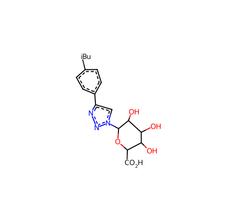 CCC(C)c1ccc(-c2cn(C3OC(C(=O)O)C(O)C(O)C3O)nn2)cc1